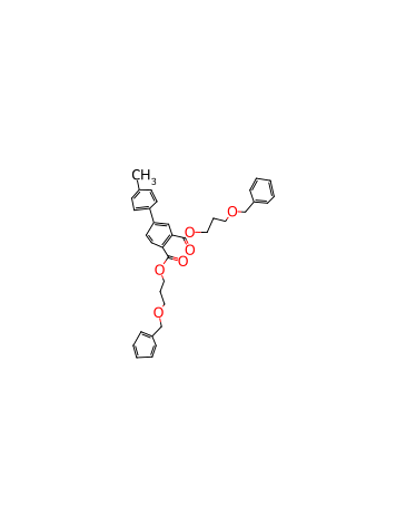 Cc1ccc(-c2ccc(C(=O)OCCCOCc3ccccc3)c(C(=O)OCCCOCc3ccccc3)c2)cc1